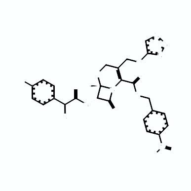 NC(C(=O)N[C@H]1C(=O)N2C(C(=O)OCc3ccc([N+](=O)[O-])cc3)=C(CSc3cnn[nH]3)CS[C@@H]12)c1ccc(O)cc1